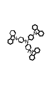 CC1(n2c3ccccc3c3ccccc32)C=CC(N(C2=CCC(n3c4c(c5ccccc53)CCC=C4)C=C2)c2ccc(-n3c4ccccc4c4ccccc43)cc2)=CC1